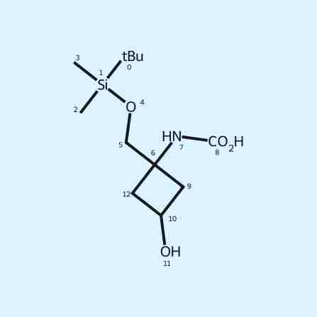 CC(C)(C)[Si](C)(C)OCC1(NC(=O)O)CC(O)C1